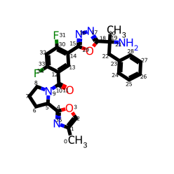 Cc1coc(C2CCCN2C(=O)c2cc(-c3nnc(C(C)(N)Cc4ccccc4)o3)c(F)cc2F)n1